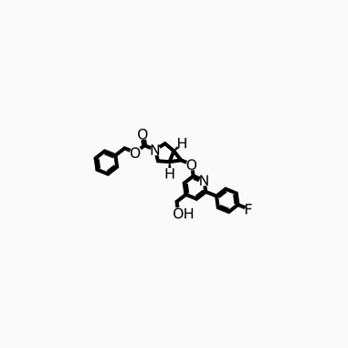 O=C(OCc1ccccc1)N1C[C@@H]2C(Oc3cc(CO)cc(-c4ccc(F)cc4)n3)[C@@H]2C1